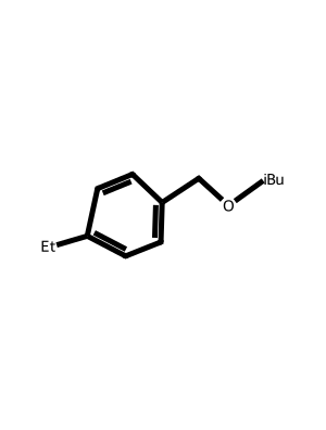 CCc1ccc(COC(C)CC)cc1